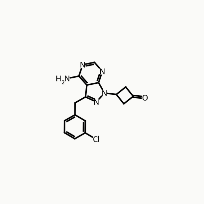 Nc1ncnc2c1c(Cc1cccc(Cl)c1)nn2C1CC(=O)C1